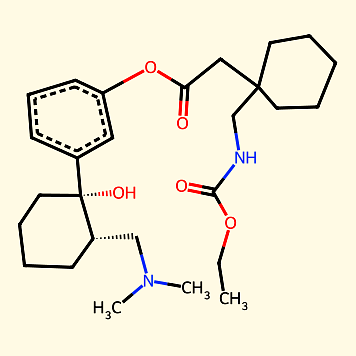 CCOC(=O)NCC1(CC(=O)Oc2cccc([C@]3(O)CCCC[C@H]3CN(C)C)c2)CCCCC1